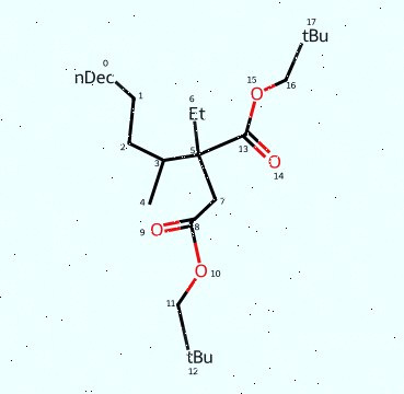 CCCCCCCCCCCCC(C)C(CC)(CC(=O)OCC(C)(C)C)C(=O)OCC(C)(C)C